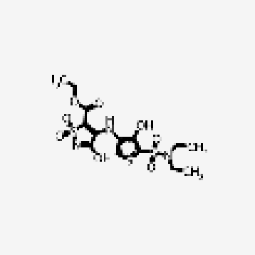 CCOC(=O)C1=C(Nc2csc(S(=O)(=O)N(CC)CC)c2O)C(O)=NS1(=O)=O